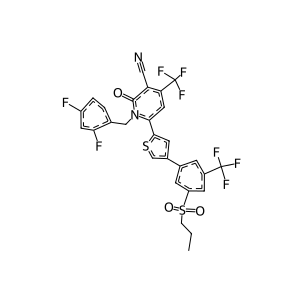 CCCS(=O)(=O)c1cc(-c2csc(-c3cc(C(F)(F)F)c(C#N)c(=O)n3Cc3ccc(F)cc3F)c2)cc(C(F)(F)F)c1